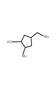 CC(C)(C)CC1CC(O)C(C(C)(C)C)C1